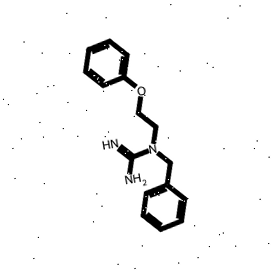 N=C(N)N(CCOc1ccccc1)Cc1ccccc1